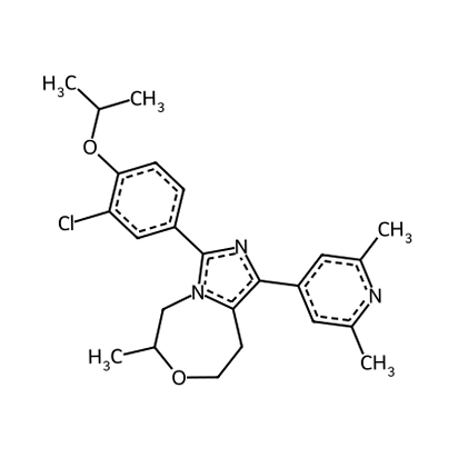 Cc1cc(-c2nc(-c3ccc(OC(C)C)c(Cl)c3)n3c2CCOC(C)C3)cc(C)n1